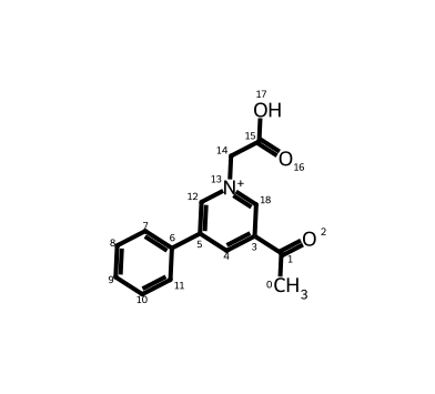 CC(=O)c1cc(-c2ccccc2)c[n+](CC(=O)O)c1